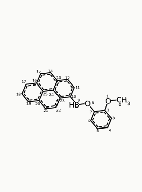 COc1ccccc1OBc1ccc2ccc3cccc4ccc1c2c34